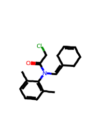 Cc1cccc(C)c1N(/C=C1\CC=CCC1)C(=O)CCl